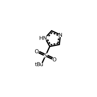 CC(C)(C)S(=O)(=O)c1cnc[nH]1